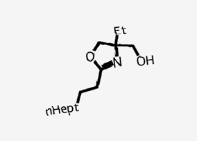 CCCCCCCCCC1=NC(CC)(CO)CO1